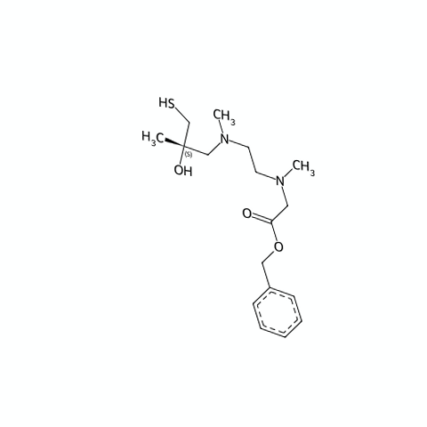 CN(CCN(C)C[C@](C)(O)CS)CC(=O)OCc1ccccc1